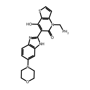 O=c1c(-c2nc3ccc(N4CCOCC4)cc3[nH]2)c(O)c2sccc2n1CP